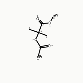 CCCOC(=O)C(C)(C)OC(=O)CCC